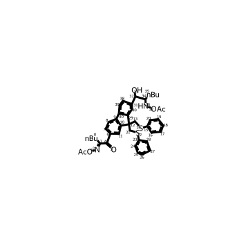 CCCC/C(=N\OC(C)=O)C(=O)c1ccc2c(c1)C(CSc1ccccc1)(CSc1ccccc1)c1cc(C(O)C(CCCC)NOC(C)=O)ccc1-2